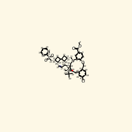 COC(=O)c1ccc2c(c1)N(C[C@H]1CC[C@H]1C(/C=C\[C@H]1CC[C@H]1CS(=O)(=O)c1ncccn1)O[Si](C)(C)C(C)(C)C)CCCCc1cc(Cl)ccc1CO2